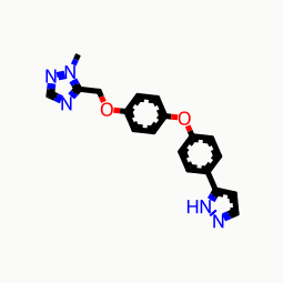 Cn1ncnc1COc1ccc(Oc2ccc(-c3ccn[nH]3)cc2)cc1